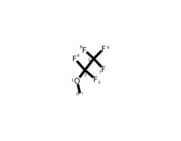 [CH]OC(F)(F)C(F)(F)F